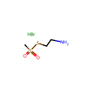 Br.CS(=O)(=O)SCCN